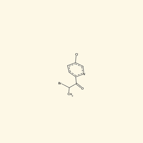 CC(Br)C(=O)c1ccc(Cl)cn1